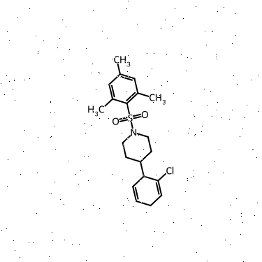 Cc1cc(C)c(S(=O)(=O)N2CCC(C3C=CCC=C3Cl)CC2)c(C)c1